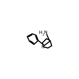 NC1C2CCN(CC2)C1c1ccccc1